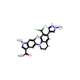 CNC(=O)c1cn(C)c2cc(C)c(N3CCCc4cc(-c5cnn(C)c5)c(C(F)F)cc43)cc12